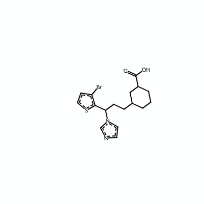 O=C(O)C1CCCC(CCC(c2sccc2Br)n2ccnc2)C1